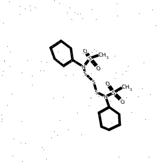 CS(=O)(=O)N(SSSN(C1CCCCC1)S(C)(=O)=O)C1CCCCC1